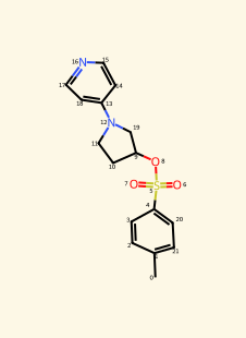 Cc1ccc(S(=O)(=O)OC2CCN(c3ccncc3)C2)cc1